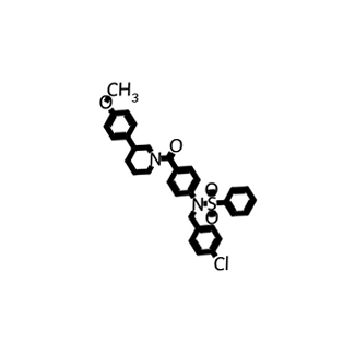 COc1ccc(C2CCCN(C(=O)c3ccc(N(Cc4ccc(Cl)cc4)S(=O)(=O)c4ccccc4)cc3)C2)cc1